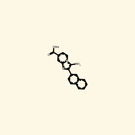 COC(=O)c1ccn2c(N)c(-c3ccc4ccccc4c3)nc2c1